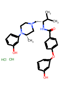 CC(C)[C@@H](CN1CCN(c2cccc(O)c2)[C@@H](C)C1)NC(=O)c1ccc(Oc2cccc(O)c2)cc1.Cl.Cl